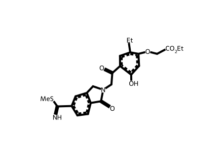 CCOC(=O)COc1cc(O)c(C(=O)CN2Cc3cc(C(=N)SC)ccc3C2=O)cc1CC